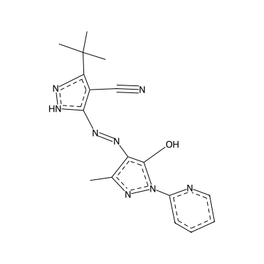 Cc1nn(-c2ccccn2)c(O)c1/N=N/c1[nH]nc(C(C)(C)C)c1C#N